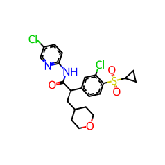 O=C(Nc1ccc(Cl)cn1)[C@H](CC1CCOCC1)c1ccc(S(=O)(=O)C2CC2)c(Cl)c1